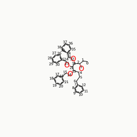 CCC1OC(CCc2ccccc2)C(OCc2ccccc2)C(OCc2ccccc2)C1OCc1ccccc1